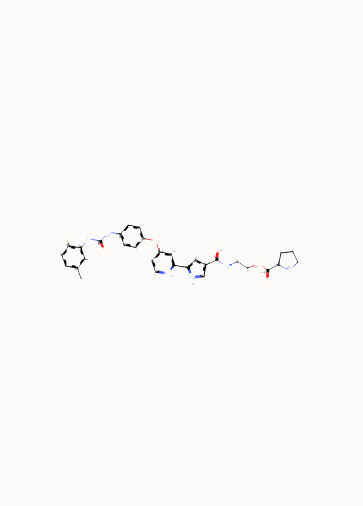 Cc1ccc(F)c(NC(=O)Nc2ccc(Oc3ccnc(-c4cc(C(=O)NCCOC(=O)C5CCCN5)c[nH]4)c3)cc2)c1